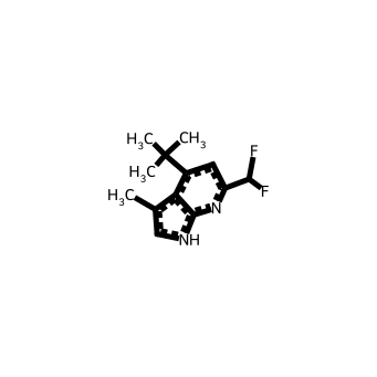 Cc1c[nH]c2nc(C(F)F)cc(C(C)(C)C)c12